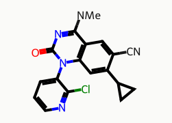 CNc1nc(=O)n(-c2cccnc2Cl)c2cc(C3CC3)c(C#N)cc12